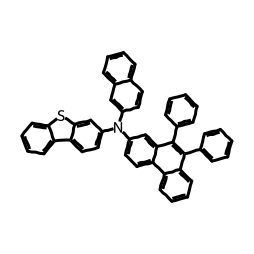 c1ccc(-c2c(-c3ccccc3)c3cc(N(c4ccc5ccccc5c4)c4ccc5c(c4)sc4ccccc45)ccc3c3ccccc23)cc1